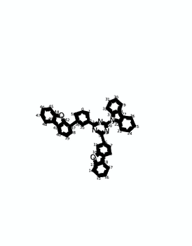 c1cc(-c2nc(-c3ccc4c(c3)oc3ccccc34)nc(-n3c4ccccc4c4ccccc43)n2)cc(-c2cccc3c2oc2ccccc23)c1